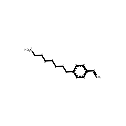 C=Cc1ccc(CCCCCCCC(=O)O)cc1